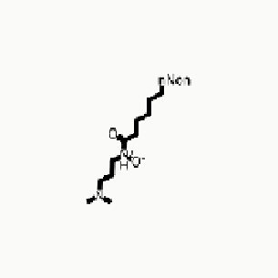 CCCCCCCCCCCCCCC(=O)[NH+]([O-])CCCN(C)C